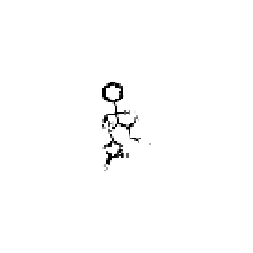 CNC(=O)C(Nc1n[nH]c(=S)s1)C(N)(C=S)c1ccccc1